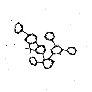 CC1(C)c2cc(-c3ccccc3)ccc2-c2ccc(-c3c(-c4ccccc4)cccc3-c3nc(-c4ccccc4)nc(-c4ccccc4)n3)cc21